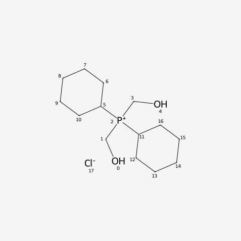 OC[P+](CO)(C1CCCCC1)C1CCCCC1.[Cl-]